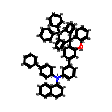 c1ccc(-c2ccc(N(c3cccc(-c4ccc5c(c4)Oc4ccccc4C54c5ccccc5[Si](c5ccccc5)(c5ccccc5)c5ccccc54)c3)c3cccc4ccccc34)cc2)cc1